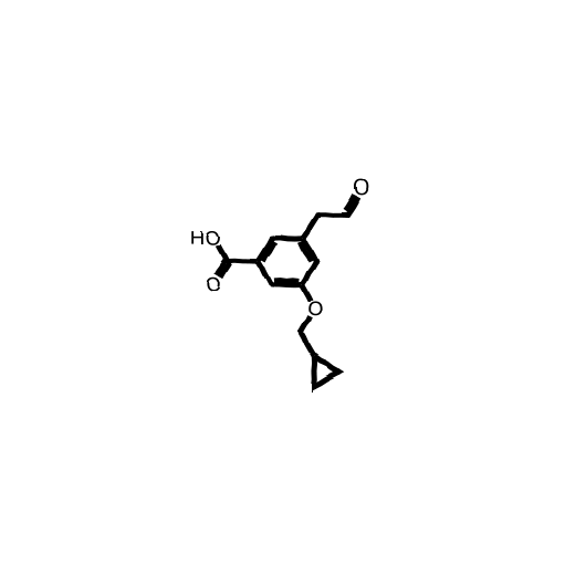 O=CCc1cc(OCC2CC2)cc(C(=O)O)c1